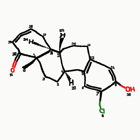 C[C@]12CC[C@@H]3c4cc(Cl)c(O)cc4CC[C@H]3[C@@H]1CC=CC2=O